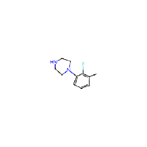 Cc1cccc(N2CCNCC2)c1F